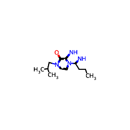 CCCC(=N)n1ccn(CC(C)C)c(=O)c1=N